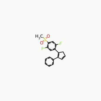 CS(=O)(=O)c1cc(F)c(C2=C(c3ccccc3)C=CC2)cc1F